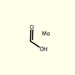 O=CO.[Mo]